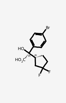 O=C(O)[C@](O)(c1ccc(Br)cc1)[C@@H]1CCC(F)(F)C1